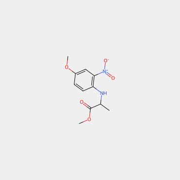 COC(=O)C(C)Nc1ccc(OC)cc1[N+](=O)[O-]